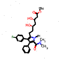 CC(C)n1c(CC[C@@H](O)C[C@@H](O)CC(=O)OC(C)(C)C)c(-c2ccc(F)cc2)c(-c2ccccc2)c1C(=O)N(C)C